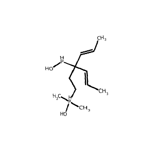 CC=CC(C=CC)(CC[PH](C)(C)O)PO